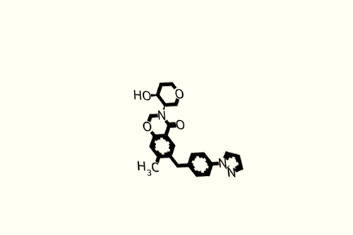 Cc1cc2c(cc1Cc1ccc(-n3cccn3)cc1)C(=O)N([C@H]1COCC[C@@H]1O)CO2